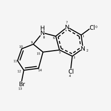 Clc1nc(Cl)c2c(n1)NC1C=CC(Br)=CC21